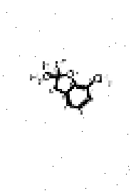 Cc1cccc2c1OC(C)(C)C2